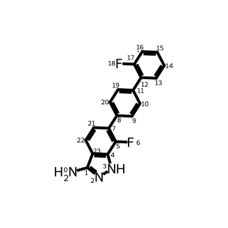 Nc1n[nH]c2c(F)c(-c3ccc(-c4ccc[c]c4F)cc3)ccc12